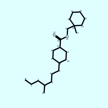 CCCC(C)CCCC1CCC(C(=O)OCC2(C)CCCCC2)CC1